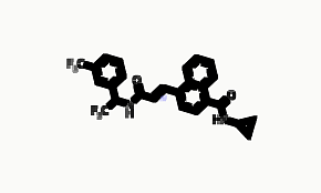 O=C(/C=C/c1ccc(C(=O)NC2CC2)c2ccccc12)NC(c1cccc(C(F)(F)F)c1)C(F)(F)F